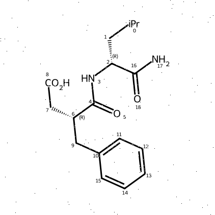 CC(C)C[C@@H](NC(=O)[C@@H](CC(=O)O)Cc1ccccc1)C(N)=O